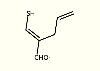 C=CCC([C]=O)=CS